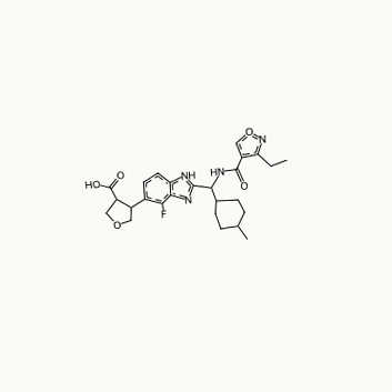 CCc1nocc1C(=O)NC(c1nc2c(F)c(C3COCC3C(=O)O)ccc2[nH]1)C1CCC(C)CC1